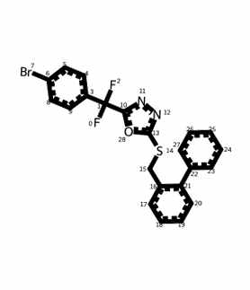 FC(F)(c1ccc(Br)cc1)c1nnc(SCc2ccccc2-c2ccccc2)o1